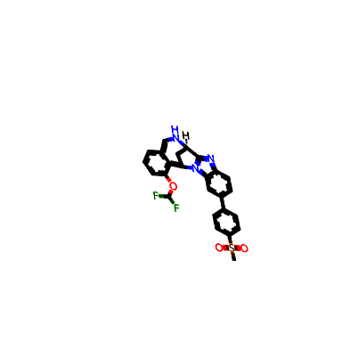 CS(=O)(=O)c1ccc(-c2ccc3nc4n(c3c2)C2=c3c(OC(F)F)cccc3=CN[C@@H]4C2)cc1